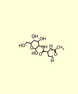 CC(=O)NC(CS)C(=O)NC1C(O)OC(CO)[C@H](O)C1O